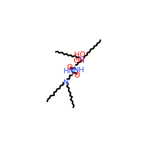 CCCCCCCCCCCCN(CCCCCCCCCCCC)CCCC[C@@H]1NC(=O)[C@H](CCCCN(C[C@H](O)CCCCCCCCCC)C[C@@H](O)CCCCCCCCCC)NC1=O